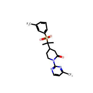 CC(C)(C1CCN(c2nccc(C(F)(F)F)n2)C(=O)C1)S(=O)(=O)c1cccc(C(F)(F)F)c1